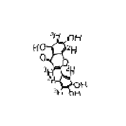 [2H]c1c([2H])c(-c2oc3c([2H])c(O)c([2H])c(O)c3c(=O)c2[2H])c([2H])c(O)c1O